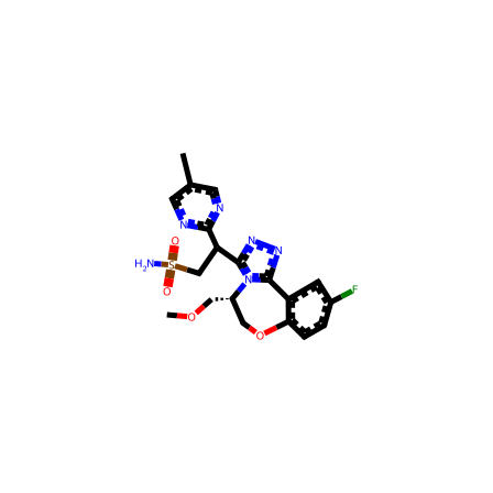 COC[C@H]1COc2ccc(F)cc2-c2nnc(C(CS(N)(=O)=O)c3ncc(C)cn3)n21